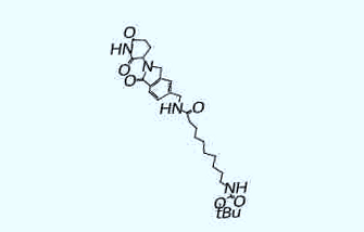 CC(C)(C)OC(=O)NCCCCCCCCCC(=O)NCc1ccc2c(c1)CN(C1CCC(=O)NC1=O)C2=O